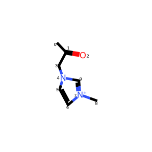 CC(=O)Cn1cc[n+](C)c1